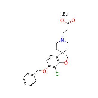 CC(C)(C)OC(=O)CCN1CCC2(CC1)COc1c2ccc(OCc2ccccc2)c1Cl